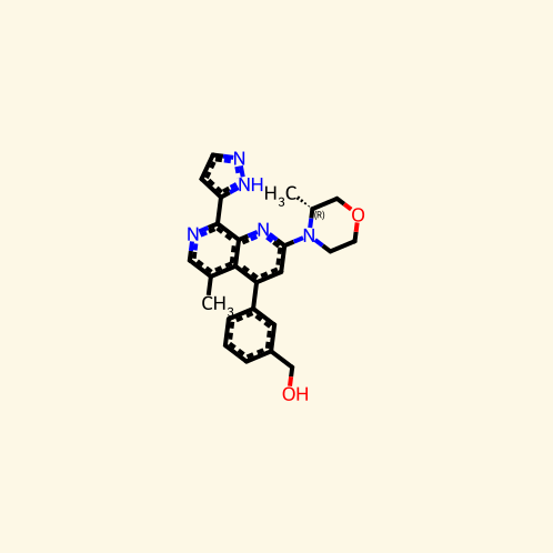 Cc1cnc(-c2ccn[nH]2)c2nc(N3CCOC[C@H]3C)cc(-c3cccc(CO)c3)c12